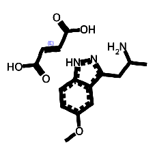 COc1ccc2[nH]nc(CC(C)N)c2c1.O=C(O)/C=C/C(=O)O